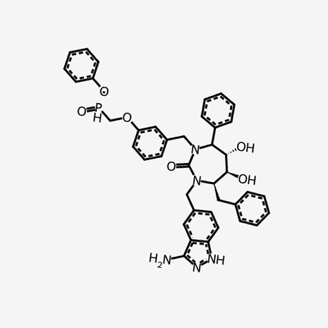 Nc1n[nH]c2ccc(CN3C(=O)N(Cc4cccc(OC[PH](=O)Oc5ccccc5)c4)C(c4ccccc4)[C@H](O)[C@@H](O)[C@H]3Cc3ccccc3)cc12